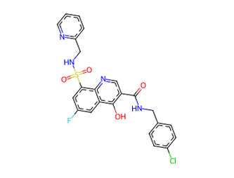 O=C(NCc1ccc(Cl)cc1)c1cnc2c(S(=O)(=O)NCc3ccccn3)cc(F)cc2c1O